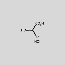 CC(=O)C(O)C(=O)O.Cl